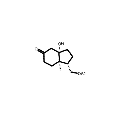 CC(=O)OC[C@H]1CC[C@]2(O)CC(=O)CC[C@]12C